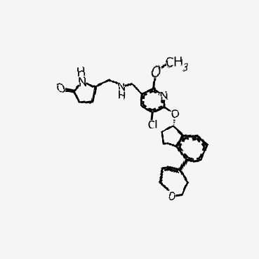 COc1nc(O[C@H]2CCc3c(C4=CCOCC4)cccc32)c(Cl)cc1CNCC1CCC(=O)N1